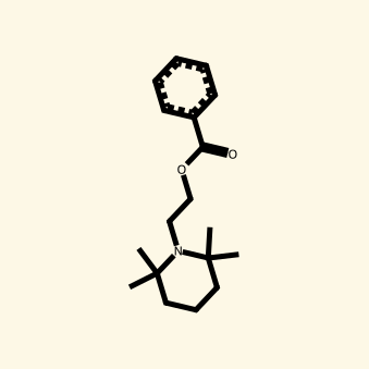 CC1(C)CCCC(C)(C)N1CCOC(=O)c1ccccc1